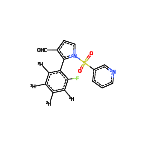 [2H]c1c([2H])c([2H])c(-c2c(C=O)ccn2S(=O)(=O)c2cccnc2)c(F)c1[2H]